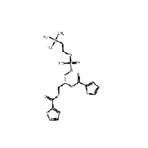 C[N+](C)(C)CCOP(=O)(O)OC[C@@H](COC(=O)c1cccs1)OC(=O)c1cccs1